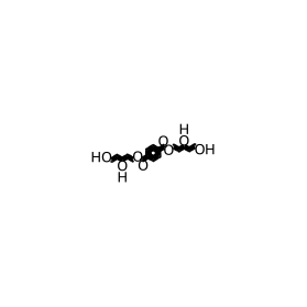 O=C(OCCC(O)CCO)c1ccc(C(=O)OCCC(O)CCO)cc1